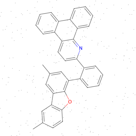 Cc1ccc2oc3c(-c4ccccc4-c4ccc5c6ccccc6c6ccccc6c5n4)cc(C)cc3c2c1